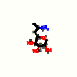 CC(N)C[C@@H]1OC[C@@H](O)[C@H](O)[C@H]1O